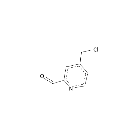 O=Cc1cc(CCl)ccn1